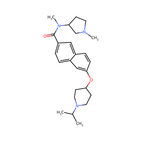 CC(C)N1CCC(Oc2ccc3cc(C(=O)N(C)C4CCN(C)C4)ccc3c2)CC1